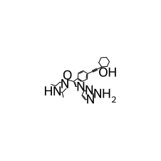 CC1CN(C(=O)c2cn(-c3ccnc(N)n3)c3cc(C#CC4(O)CCCCC4)ccc23)CC(C)N1